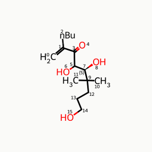 C=C(CCCC)C(=O)C(O)[C@@H](O)C(C)(C)CCCO